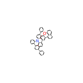 c1ccc(-c2ccc(-c3ccccc3N(c3ccc(-c4ccccc4)cc3)c3ccccc3-c3ccc4c(c3)-c3cccc5cccc(c35)O4)cc2)cc1